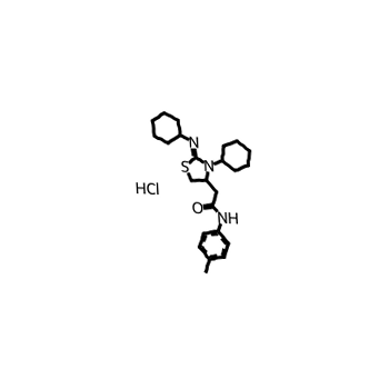 Cc1ccc(NC(=O)CC2CSC(=NC3CCCCC3)N2C2CCCCC2)cc1.Cl